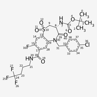 CC(C)(C)OC(=O)N[C@H]1CS(=O)(=O)c2cc(F)c(C(=O)NCCCC(F)(F)F)cc2N(Cc2ccc(Cl)cc2)C1=O